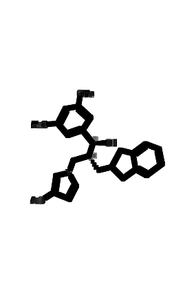 COc1cc(OC)cc([C@@H](O)[C@H](CC2Cc3ccccc3C2)Cn2ccc(OC(C)=O)c2)c1